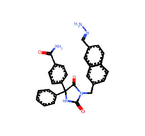 NN=Cc1ccc2ccc(CN3C(=O)NC(c4ccccc4)(c4ccc(C(N)=O)cc4)C3=O)cc2c1